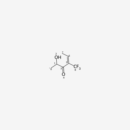 [CH2]C(O)C(=O)C(=CC)C(F)(F)F